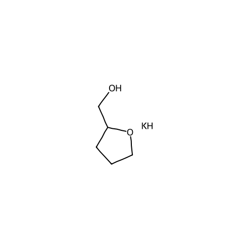 OCC1CCCO1.[KH]